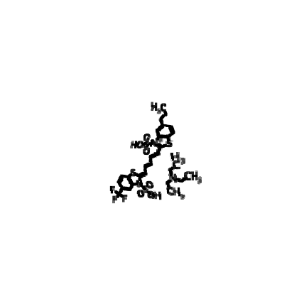 CCCc1ccc2sc(C=CC=CC=C3Sc4ccc(C(F)(F)F)cc4N3S(=O)(=O)O)[n+](S(=O)(=O)O)c2c1.CCN(CC)CC